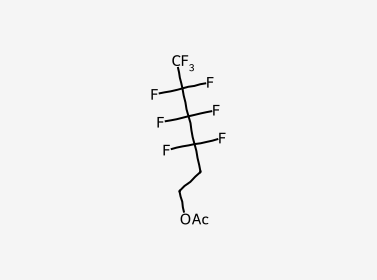 CC(=O)OCCC(F)(F)C(F)(F)C(F)(F)C(F)(F)F